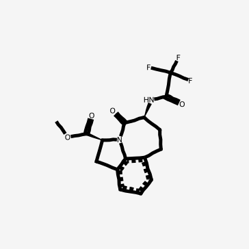 COC(=O)[C@@H]1Cc2cccc3c2N1C(=O)[C@@H](NC(=O)C(F)(F)F)CC3